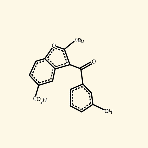 CCCCc1oc2ccc(C(=O)O)cc2c1C(=O)c1cccc(O)c1